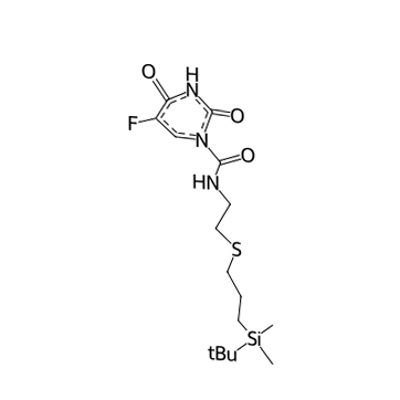 CC(C)(C)[Si](C)(C)CCCSCCNC(=O)n1cc(F)c(=O)[nH]c1=O